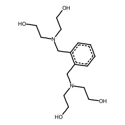 OCCN(CCO)Cc1ccccc1CN(CCO)CCO